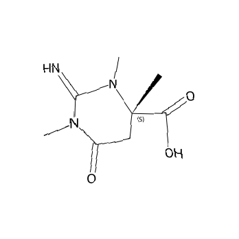 CN1C(=N)N(C)[C@](C)(C(=O)O)CC1=O